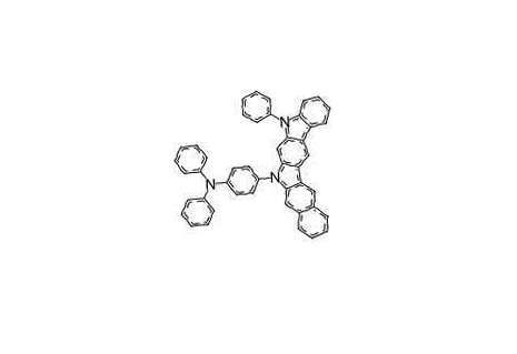 c1ccc(N(c2ccccc2)c2ccc(-n3c4cc5ccccc5cc4c4cc5c6ccccc6n(-c6ccccc6)c5cc43)cc2)cc1